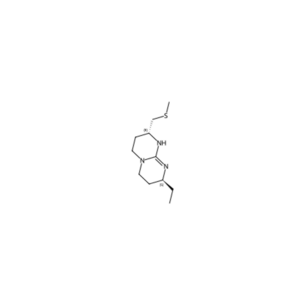 CC[C@H]1CCN2CC[C@H](CSC)NC2=N1